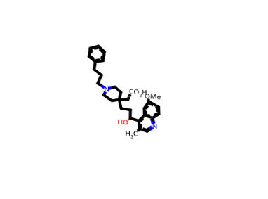 COc1ccc2ncc(C)c([C@H](O)CCC3(CC(=O)O)CCN(CCCc4ccccc4)CC3)c2c1